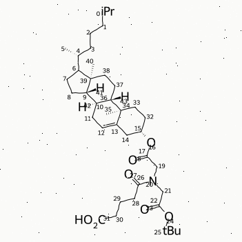 CC(C)CCC[C@@H](C)C1CC[C@H]2[C@@H]3CC=C4C[C@@H](OC(=O)CN(CC(=O)OC(C)(C)C)C(=O)CCCC(=O)O)CC[C@]4(C)[C@H]3CC[C@]12C